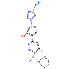 CN(c1ccc(-c2ccc(-n3cnc(C#N)c3)cc2O)nn1)[C@H]1CCCC[C@H]1F